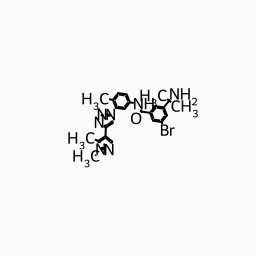 Cc1ccc(NC(=O)c2cc(Br)cc(C(C)(C)N)c2)cc1-n1cc(-c2cnn(C)c2C)nn1